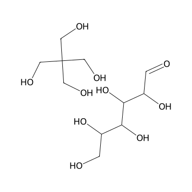 O=CC(O)C(O)C(O)C(O)CO.OCC(CO)(CO)CO